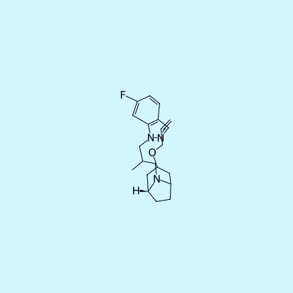 C=CCOC1CC2CC[C@H](C1)N2CC(C)Cn1ncc2ccc(F)cc21